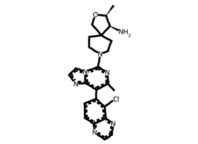 Cc1nc(N2CCC3(CC2)CO[C@@H](C)[C@H]3N)n2ccnc2c1-c1ccc2nccnc2c1Cl